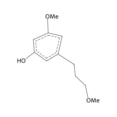 COCCCc1cc(O)cc(OC)c1